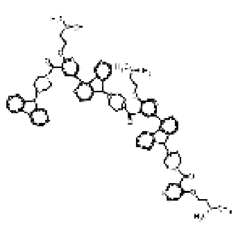 CN(C)CCOc1cnc(-c2cccc3c2-c2ccccc2C3N2CCN(C(=O)c3cnccc3OCCN(C)C)CC2)cc1C(=O)N1CCN(C2c3ccccc3-c3c(-c4cnc(OCCN(C)C)c(C(=O)N5CCN(C6c7ccccc7-c7ccccc76)CC5)c4)cccc32)CC1